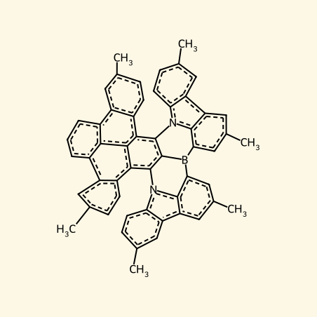 Cc1ccc2c(c1)c1cccc3c4cc(C)ccc4c4c5c6c(c2c4c13)-n1c2ccc(C)cc2c2cc(C)cc(c21)B6c1cc(C)cc2c3cc(C)ccc3n-5c12